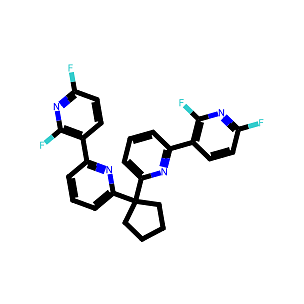 Fc1ccc(-c2cccc(C3(c4cccc(-c5ccc(F)nc5F)n4)CCCC3)n2)c(F)n1